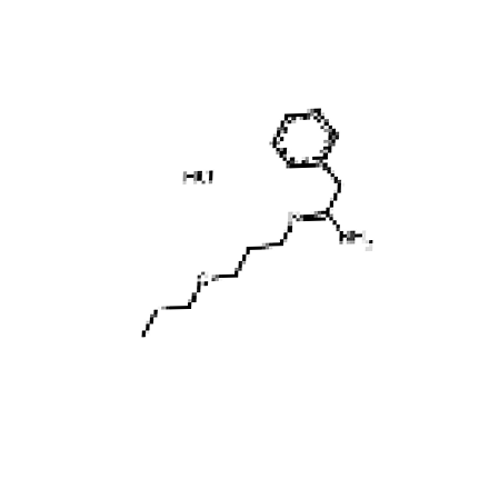 CCCOCCCN=C(N)Cc1ccccc1.Cl